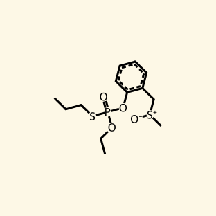 CCCSP(=O)(OCC)Oc1ccccc1C[S+](C)[O-]